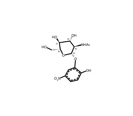 CC(=O)N[C@H]1[C@H](Oc2cc([N+](=O)[O-])ccc2O)O[C@H](CO)[C@@H](O)[C@@H]1O